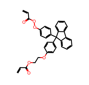 C=CC(=O)OCCOc1ccc(C2(c3ccc(OOC(=O)C=C)cc3)c3ccccc3-c3ccccc32)cc1